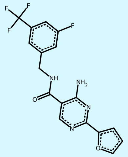 Nc1nc(-c2ccco2)ncc1C(=O)NCc1cc(F)cc(C(F)(F)F)c1